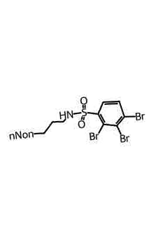 CCCCCCCCCCCCNS(=O)(=O)c1ccc(Br)c(Br)c1Br